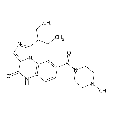 CCC(CC)c1ncc2c(=O)[nH]c3ccc(C(=O)N4CCN(C)CC4)cc3n12